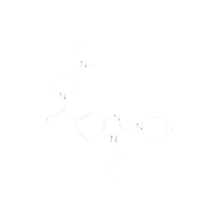 CCCn1c(N2CCOCC2)nc2cc(C(=O)N3CCC(N(C)CC)C3)ccc21